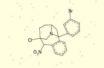 O=[N+]([O-])C1c2ccccc2CC2CCC1(Cl)CN2Cc1cccc(Br)c1